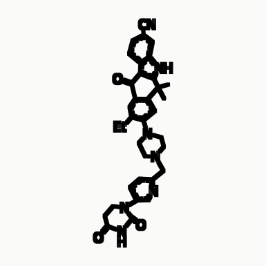 CCc1cc2c(cc1N1CCN(Cc3ccc(N4CCC(=O)NC4=O)cn3)CC1)C(C)(C)c1[nH]c3cc(C#N)ccc3c1C2=O